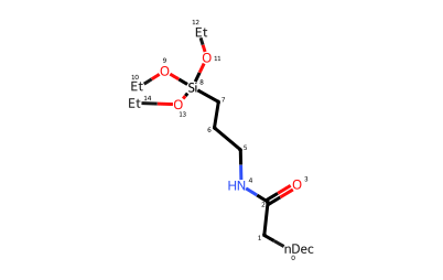 CCCCCCCC[CH]CCC(=O)NCCC[Si](OCC)(OCC)OCC